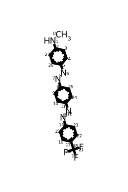 CNc1ccc(N=Nc2ccc(N=Nc3ccc(C(F)(F)F)cc3)cc2)cc1